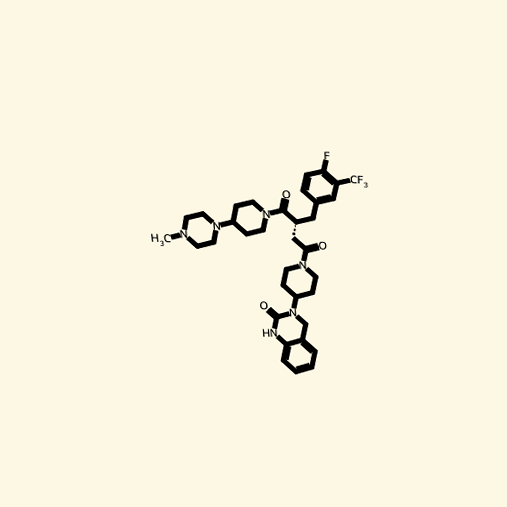 CN1CCN(C2CCN(C(=O)[C@@H](CC(=O)N3CCC(N4Cc5ccccc5NC4=O)CC3)Cc3ccc(F)c(C(F)(F)F)c3)CC2)CC1